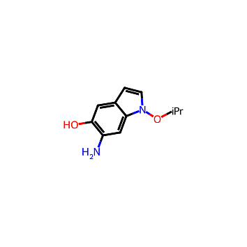 CC(C)On1ccc2cc(O)c(N)cc21